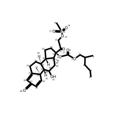 CCCC(C)COC(=O)O[C@]1(C(=O)COS(C)(=O)=O)CC[C@H]2[C@@H]3CCC4=CC(=O)C=C[C@]4(C)[C@H]3C(O)C[C@@]21C